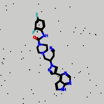 N#CCC(CN1CCN(C(=O)Nc2ccc(F)cc2F)CC1)n1cc(-c2ncnc3[nH]ccc23)cn1